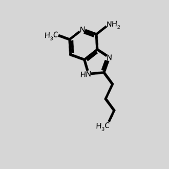 CCCCc1nc2c(N)nc(C)cc2[nH]1